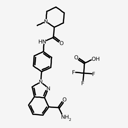 CN1CCCCC1C(=O)Nc1ccc(-n2cc3cccc(C(N)=O)c3n2)cc1.O=C(O)C(F)(F)F